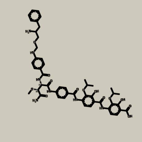 CO[C@@H](C(N)=O)[C@H](NC(=O)c1ccc(NCOCC(N)Cc2ccccc2)cc1)C(=O)Nc1ccc(C(=O)Nc2ccc(C(=O)Nc3ccc(C(=O)O)c(O)c3OC(C)C)c(O)c2OC(C)C)cc1